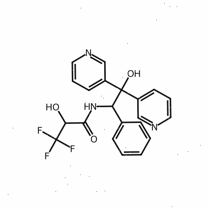 O=C(NC(c1ccccc1)C(O)(c1cccnc1)c1cccnc1)C(O)C(F)(F)F